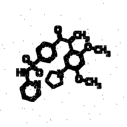 C=C(C(=O)c1ccc(S(=O)(=O)Nc2ccccn2)cc1)c1cc(N2CCCC2)c(OC)cc1OC